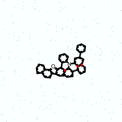 c1ccc(-c2cccc(N(c3ccccc3-c3ccccc3)c3ccccc3-c3cccc4c3oc3c5ccccc5ccc43)c2)cc1